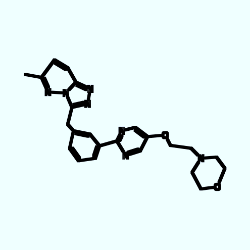 Cc1ccc2nnc(Cc3cccc(-c4ncc(OCCN5CCOCC5)cn4)c3)n2n1